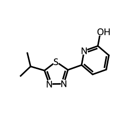 CC(C)c1nnc(-c2cccc(O)n2)s1